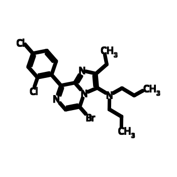 CCCN(CCC)c1c(CC)nc2c(-c3ccc(Cl)cc3Cl)ncc(Br)n12